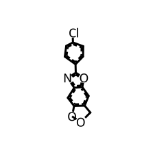 Clc1ccc(-c2nc3cc4c(cc3o2)COO4)cc1